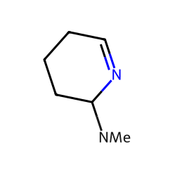 CNC1CCCC=N1